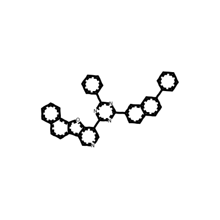 c1ccc(-c2ccc3ccc(-c4nc(-c5ccccc5)nc(-c5cncc6c5oc5c7ccccc7ccc65)n4)cc3c2)cc1